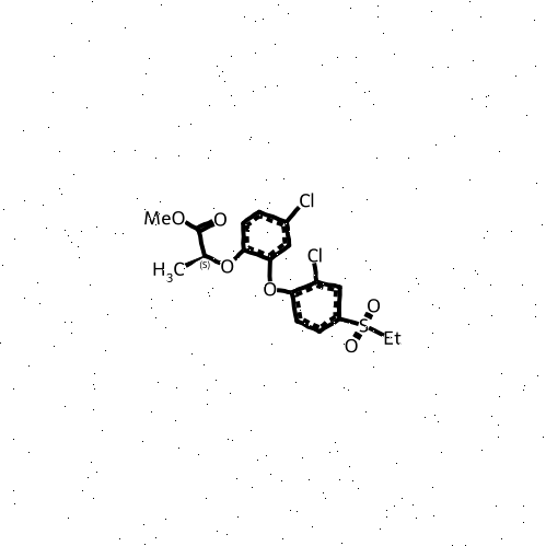 CCS(=O)(=O)c1ccc(Oc2cc(Cl)ccc2O[C@@H](C)C(=O)OC)c(Cl)c1